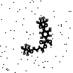 CON(C(=O)OC(C)CCCO[Si](C)(C)C(C)(C)C)c1ccc(B2OC(C)(C)C(C)(C)O2)c(F)c1